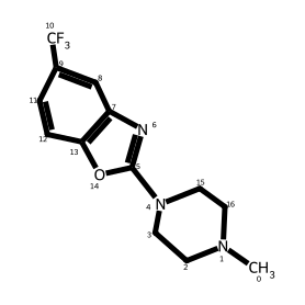 CN1CCN(c2nc3cc(C(F)(F)F)ccc3o2)CC1